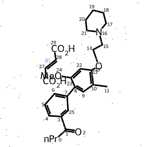 CCCC(=O)c1cccc(-c2cc(C)c(OCCN3CCCCC3)cc2OC)c1.O=C(O)/C=C/C(=O)O